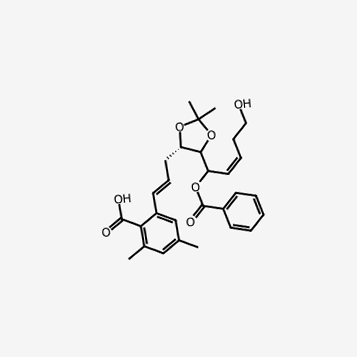 Cc1cc(C)c(C(=O)O)c(/C=C/C[C@@H]2OC(C)(C)OC2C(/C=C\CCO)OC(=O)c2ccccc2)c1